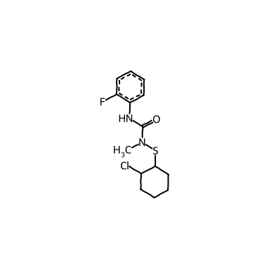 CN(SC1CCCCC1Cl)C(=O)Nc1ccccc1F